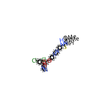 CCCN(CC(OC)OC)C(=S)Nc1ccc(N2CCN(c3ccc(OCC4COC(Cn5ccnc5)(c5ccc(Cl)cc5Cl)O4)cc3)CC2)cc1